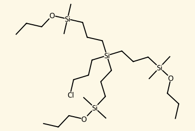 CCCO[Si](C)(C)CCC[Si](CCCCl)(CCC[Si](C)(C)OCCC)CCC[Si](C)(C)OCCC